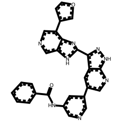 O=C(Nc1cncc(-c2cnc3[nH]nc(-c4nc5c(-c6ccoc6)cncc5[nH]4)c3c2)c1)c1ccccc1